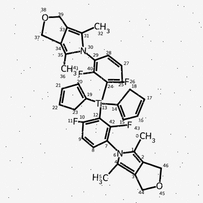 Cc1c2c(c(C)n1-c1ccc(F)[c]([Ti]([C]3=CC=CC3)([C]3=CC=CC3)[c]3c(F)ccc(-n4c(C)c5c(c4C)COC5)c3F)c1F)COC2